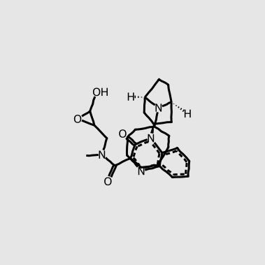 CN(CC1OC1O)C(=O)c1nc2ccccc2n([C@H]2C[C@H]3CC[C@@H](C2)N3C2CCCCCCC2)c1=O